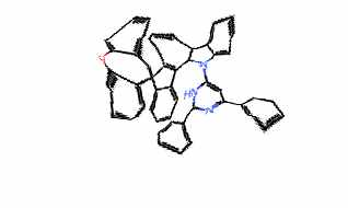 C1=CCCC(C2=NC(c3ccccc3)NC(N3c4ccccc4C4C=CC5=C(c6ccccc6C56c5ccccc5Oc5ccccc56)C43)=C2)=C1